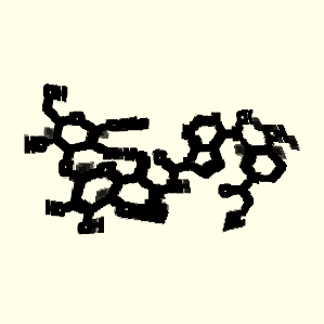 CCN(NC(=O)n1ccc2c(N(C)[C@H]3CN(C(=O)CC#N)CC[C@H]3C)ncnc21)C(=O)C1O[C@@H](OC2C(NC(C)=O)[C@H](OC)OC(CO)[C@H]2O)C(O)C(O)[C@@H]1OC